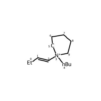 CCC=C[N+]1(CCCC)CCCCC1